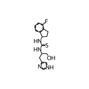 OCC(Cc1c[nH]cn1)NC(=S)NC1CCc2c(F)cccc21